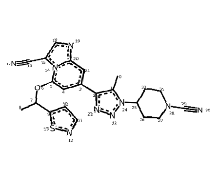 Cc1c(-c2cc(OC(C)c3ccns3)n3c(C#N)cnc3c2)nnn1C1CCN(C#N)CC1